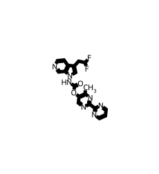 Cc1nc(-c2ncccn2)ncc1OC(=O)Nn1cc(CC(F)F)c2ccncc21